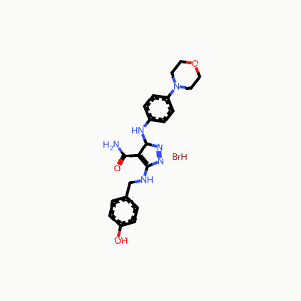 Br.NC(=O)C1=C(NCc2ccc(O)cc2)N=NC1Nc1ccc(N2CCOCC2)cc1